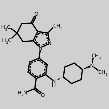 Cc1nn(-c2ccc(C(N)=O)c(N[C@H]3CC[C@H](N(C)C)CC3)c2)c2c1C(=O)CC(C)(C)C2